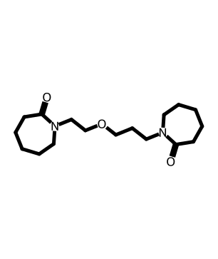 O=C1CCCCCN1CCCOCCN1CCCCCC1=O